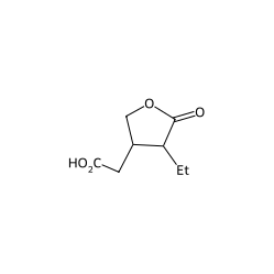 CCC1C(=O)OCC1CC(=O)O